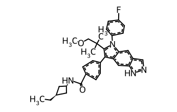 CC[C@H]1C[C@H](NC(=O)c2ccc(-c3c(C(C)(C)COC)n(-c4ccc(F)cc4)c4cc5cn[nH]c5cc34)cc2)C1